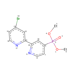 CCOP(=O)(OCC)c1ccnc(-c2cc(Br)ccn2)c1